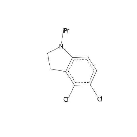 CC(C)N1CCc2c1ccc(Cl)c2Cl